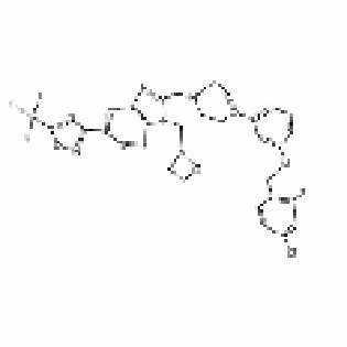 Fc1cc(Cl)ccc1COc1cccc(C2=CCN(Cc3nc4cc(-c5noc(C(F)(F)F)n5)ncc4n3C[C@@H]3CCO3)CC2)c1